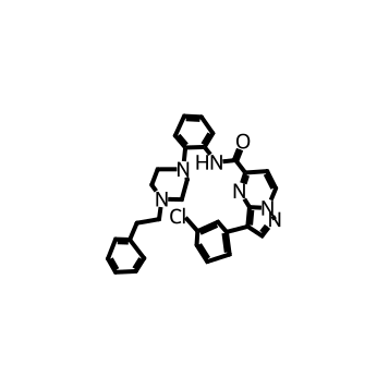 O=C(Nc1ccccc1N1CCN(CCc2ccccc2)CC1)c1ccn2ncc(-c3cccc(Cl)c3)c2n1